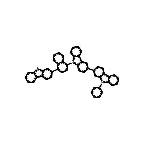 c1ccc(-n2c3ccccc3c3ccc(-c4ccc5c(c4)c4ccccc4n5-c4ccc(-c5ccc6c(c5)sc5ccccc56)c5ccccc45)cc32)cc1